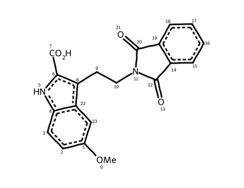 COc1ccc2[nH]c(C(=O)O)c(CCN3C(=O)c4ccccc4C3=O)c2c1